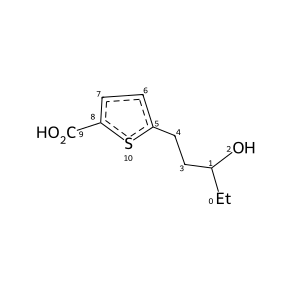 CCC(O)CCc1ccc(C(=O)O)s1